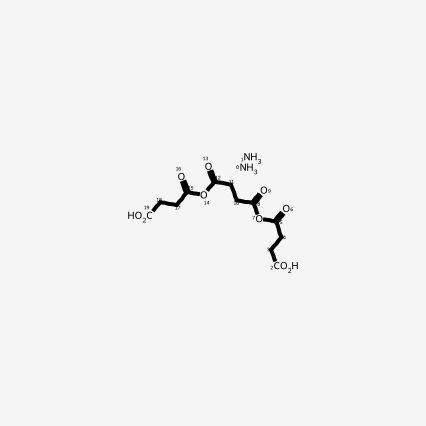 N.N.O=C(O)CCC(=O)OC(=O)CCC(=O)OC(=O)CCC(=O)O